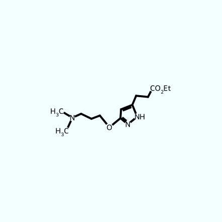 CCOC(=O)CCc1cc(OCCCN(C)C)n[nH]1